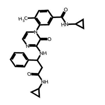 Cc1ccc(C(=O)NC2CC2)cc1-n1ccnc(NC(CC(=O)NC2CC2)c2ccccc2)c1=O